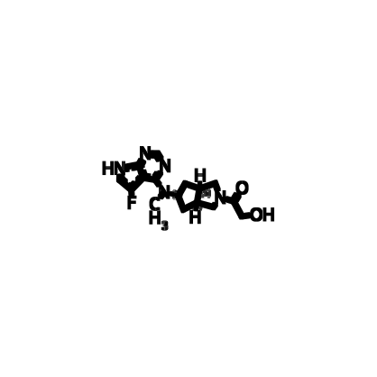 CN(c1ncnc2[nH]cc(F)c12)[C@H]1C[C@@H]2CN(C(=O)CO)C[C@@H]2C1